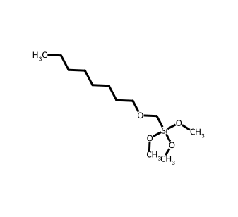 CCCCCCCCOC[Si](OC)(OC)OC